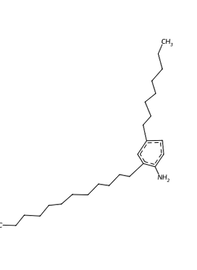 CCCCCCCCCCCCc1cc(CCCCCCCC)ccc1N